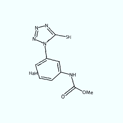 COC(=O)Nc1cccc(-n2nnnc2S)c1.[NaH]